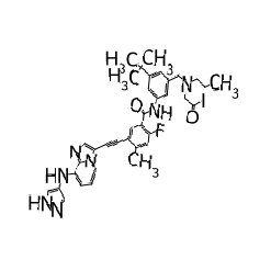 CCCN(CC(=O)I)Cc1cc(NC(=O)c2cc(C#Cc3cnc4c(Nc5cn[nH]c5)cccn34)c(C)cc2F)cc(C(C)(C)C)c1